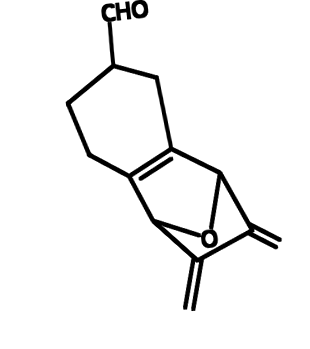 C=C1C(=C)C2OC1C1=C2CC(C=O)CC1